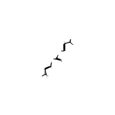 O=C(OC=CC(F)F)OC=CC(F)F